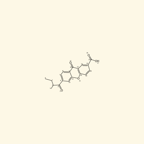 CCC(C)C(=O)c1ccc2c(=O)c3cc(C(=O)O)ccc3oc2c1